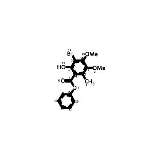 COc1c(C)c(C(=O)Oc2ccccc2)c(O)c(Br)c1OC